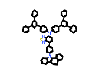 c1ccc(-c2cc(-c3ccccc3)cc(-c3ccc(N(c4ccc(-c5cc(-c6ccccc6)cc(-c6ccccc6)c5)cc4)c4ccc(-c5ccc(-n6c7ccccc7c7ccc8ccccc8c76)cc5)c5nsnc45)cc3)c2)cc1